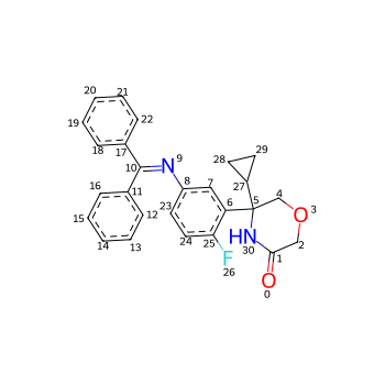 O=C1COCC(c2cc(N=C(c3ccccc3)c3ccccc3)ccc2F)(C2CC2)N1